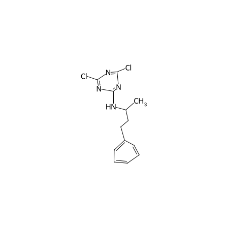 CC(CCc1ccccc1)Nc1nc(Cl)nc(Cl)n1